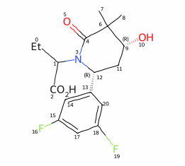 CCC(C(=O)O)N1C(=O)C(C)(C)[C@H](O)C[C@@H]1c1cc(F)cc(F)c1